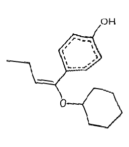 CCC=C(OC1CCCCC1)c1ccc(O)cc1